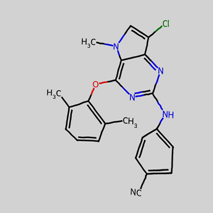 Cc1cccc(C)c1Oc1nc(Nc2ccc(C#N)cc2)nc2c(Cl)cn(C)c12